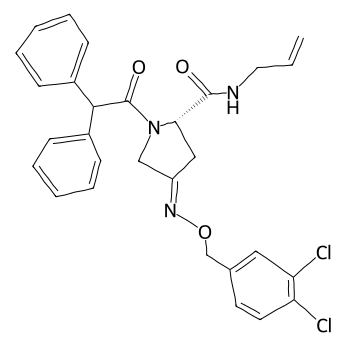 C=CCNC(=O)[C@@H]1C/C(=N\OCc2ccc(Cl)c(Cl)c2)CN1C(=O)C(c1ccccc1)c1ccccc1